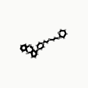 C1=Nc2ccccc2Sc2cccc(N3CCN(CCOCCOC4CCCCO4)CC3)c21